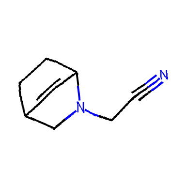 N#CCN1CC2C=CC1CC2